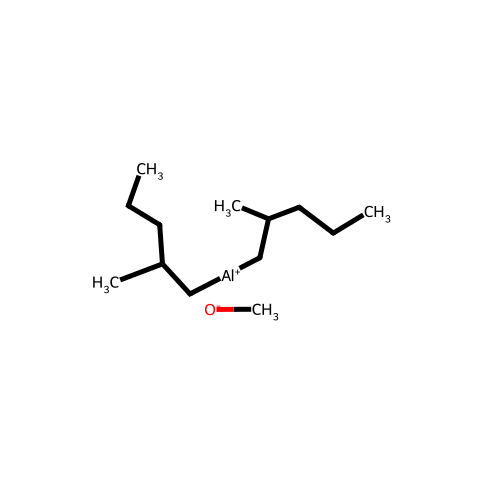 CCCC(C)[CH2][Al+][CH2]C(C)CCC.C[O-]